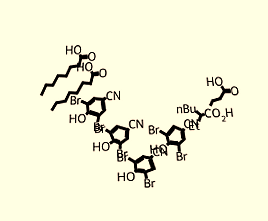 CCCC(=O)O.CCCCC(CC)C(=O)O.CCCCCCCC(=O)O.CCCCCCCC(=O)O.N#Cc1cc(Br)c(O)c(Br)c1.N#Cc1cc(Br)c(O)c(Br)c1.N#Cc1cc(Br)c(O)c(Br)c1.N#Cc1cc(Br)c(O)c(Br)c1